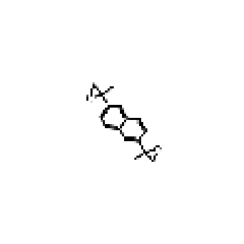 CC1(c2ccc3cc(C4(C)CO4)ccc3c2)CO1